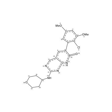 COc1cc(OC)c(Cl)c(-c2cc3cnc(NC4CCOCC4)nc3[nH]c2=O)c1